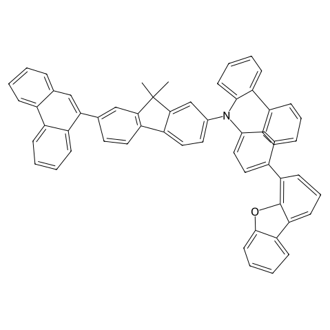 CC1(C)c2cc(-c3cc4ccccc4c4ccccc34)ccc2-c2ccc(N(c3ccc(-c4cccc5c4oc4ccccc45)cc3)c3ccccc3-c3ccccc3)cc21